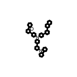 c1cc(-c2ccc(N(c3ccc(-c4cccc(-n5c6ccccc6c6ccccc65)c4)cc3)c3ccc(-c4cccc5c4oc4ccccc45)cc3)cc2)cc(-c2ccc3ccccc3c2)c1